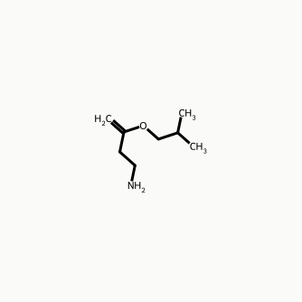 C=C(CCN)OCC(C)C